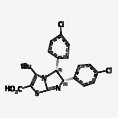 CC(C)(C)C1=C(C(=O)O)SC2=N[C@@H](c3ccc(Cl)cc3)[C@@H](c3ccc(Cl)cc3)N21